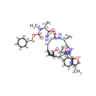 Cc1coc(-c2nc3oc2C24c5ccccc5N[C@H]2Oc2ccc(cc24)C[C@H](NC(=O)C(C(C)C)N(C)C(=O)OCc2ccccc2)C(=O)N[C@H]3C(C)C)n1